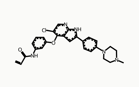 C=CC(=O)Nc1cccc(Oc2c(Cl)cnc3[nH]c(-c4ccc(N5CCN(C)CC5)cc4)cc23)c1